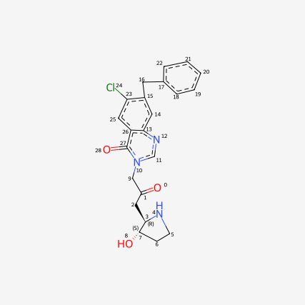 O=C(C[C@H]1NCC[C@@H]1O)Cn1cnc2cc(Cc3ccccc3)c(Cl)cc2c1=O